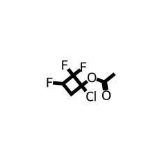 CC(=O)OC1(Cl)CC(F)C1(F)F